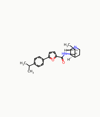 CC(C)c1ccc(-c2ccc(C(=O)N[C@@H]3C4CCN(CC4)[C@H]3C)o2)cc1